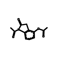 CC(=O)Oc1cccc2c1CC(=O)N2C(C)=O